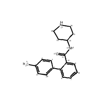 Cc1ccc(-c2ccccc2C(=O)NC2CCNCC2)cc1